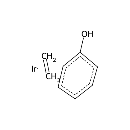 C=C.Oc1ccccc1.[Ir]